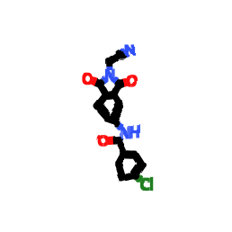 N#CCN1C(=O)c2ccc(NC(=O)c3ccc(Cl)cc3)cc2C1=O